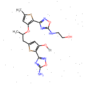 CCOc1cc(CC(C)Oc2cc(C)sc2-c2noc(NCCO)n2)sc1-c1noc(N)n1